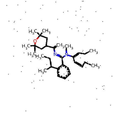 C=C(/N=C(/c1ccccc1C(C)CC)N(C)C(/C=C\CC)=C/CC)C1CC(C)(C)OC(C)(C)C1